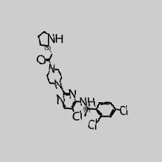 C[C@@H](Nc1nc(N2CCN(C(=O)C[C@@H]3CCCN3)CC2)ncc1Cl)c1ccc(Cl)cc1Cl